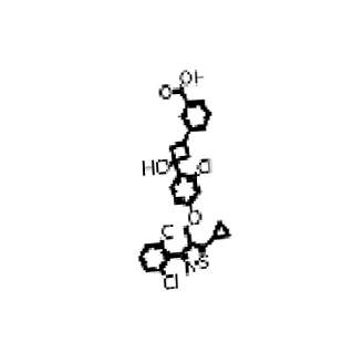 O=C(O)c1cccc(C2CC(O)(c3ccc(OCc4c(-c5c(Cl)cccc5Cl)nsc4C4CC4)cc3Cl)C2)c1